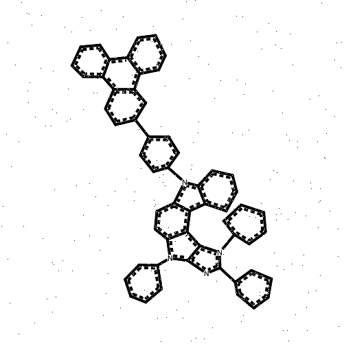 c1ccc(-c2nc3c(c4c5c6ccccc6n(-c6ccc(-c7ccc8c9ccccc9c9ccccc9c8c7)cc6)c5ccc4n3-c3ccccc3)n2-c2ccccc2)cc1